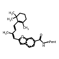 CCCCCNC(=O)c1ccc2cc(C=C(C)C=CC3=C(C)CCCC3(C)C)oc2c1